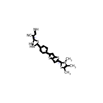 CC1=C(C)N(C)/C(=c2/cc3sc(=c4ccc(=C5NN/C(=C(\C#N)C=N)S5)cc4)cc3s2)S1